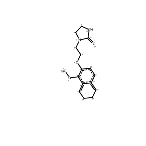 N#COc1c(OCCN2CCNC2=O)ccc2c1=CCCC=2